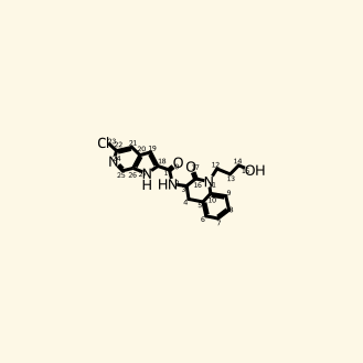 O=C(NC1Cc2ccccc2N(CCCO)C1=O)c1cc2cc(Cl)ncc2[nH]1